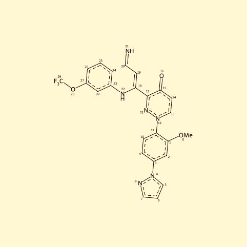 COc1cc(-n2cccn2)ccc1-n1ccc(=O)c(/C(=C/C=N)Nc2cccc(OC(F)(F)F)c2)n1